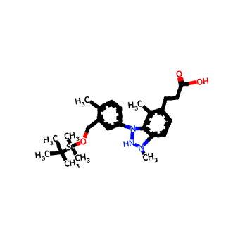 Cc1ccc(N2NN(C)c3ccc(CCC(=O)O)c(C)c32)cc1CO[Si](C)(C)C(C)(C)C